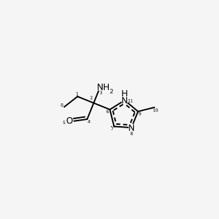 CCC(N)(C=O)c1[c]nc(C)[nH]1